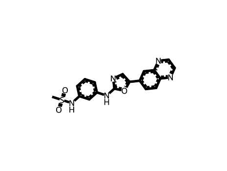 CS(=O)(=O)Nc1cccc(Nc2ncc(-c3ccc4nccnc4c3)o2)c1